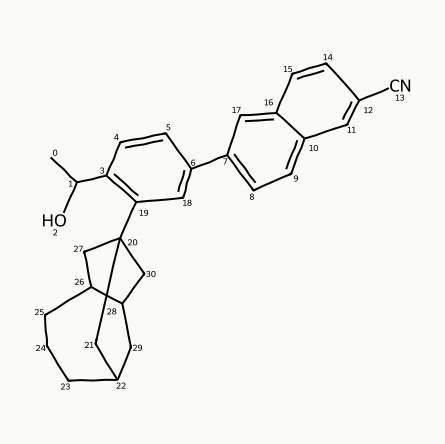 CC(O)c1ccc(-c2ccc3cc(C#N)ccc3c2)cc1C12CC3CCCC(C1)C(C3)C2